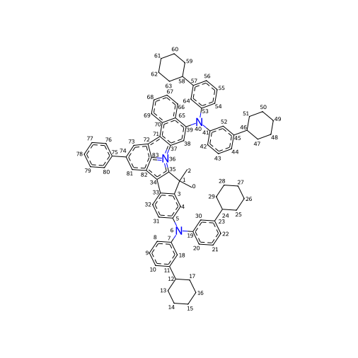 CC1(C)c2cc(N(c3cccc(C4CCCCC4)c3)c3cccc(C4CCCCC4)c3)ccc2-c2c1n1c3cc(N(c4cccc(C5CCCCC5)c4)c4cccc(C5CCCCC5)c4)c4ccccc4c3c3cc(-c4ccccc4)cc2c31